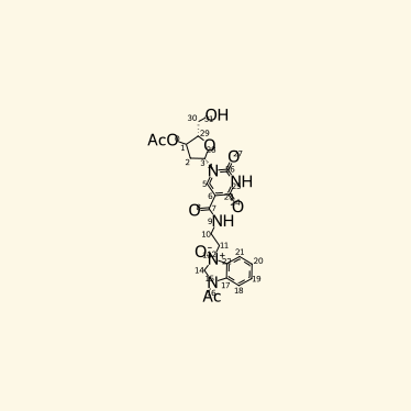 CC(=O)OC1C[C@@H](n2cc(C(=O)NCC[N+]3([O-])CN(C(C)=O)c4ccccc43)c(=O)[nH]c2=O)O[C@H]1CO